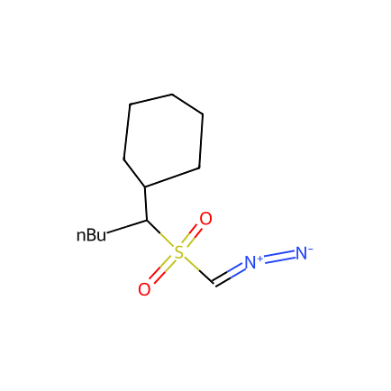 CCCCC(C1CCCCC1)S(=O)(=O)C=[N+]=[N-]